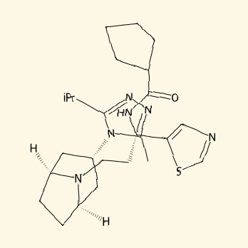 Cc1nnc(C(C)C)n1[C@@H]1C[C@H]2CC[C@@H](C1)N2CC[C@H](NC(=O)C1CCCC1)c1cncs1